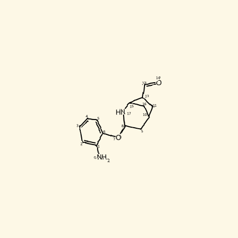 Nc1ccccc1OC1CC2CC([C]=O)C(C2)N1